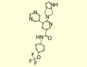 O=C(Nc1ccc(OC(F)(F)F)cc1)c1cnc(N2Cc3cc[nH]c3C2)c(-c2cncnc2)c1